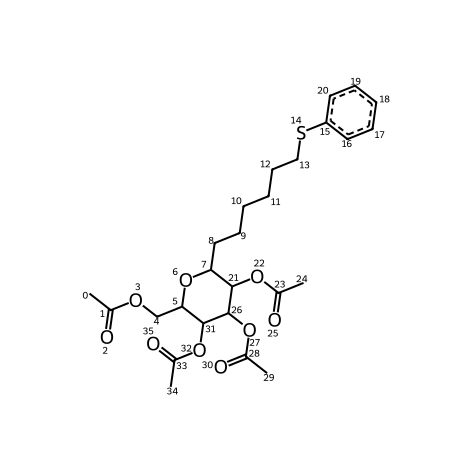 CC(=O)OCC1OC(CCCCCCSc2ccccc2)C(OC(C)=O)C(OC(C)=O)C1OC(C)=O